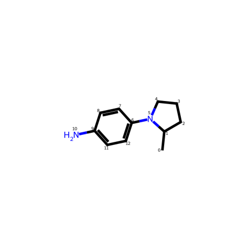 CC1CCCN1c1ccc(N)cc1